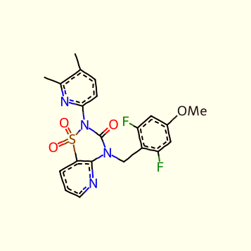 COc1cc(F)c(CN2C(=O)N(c3ccc(C)c(C)n3)S(=O)(=O)c3cccnc32)c(F)c1